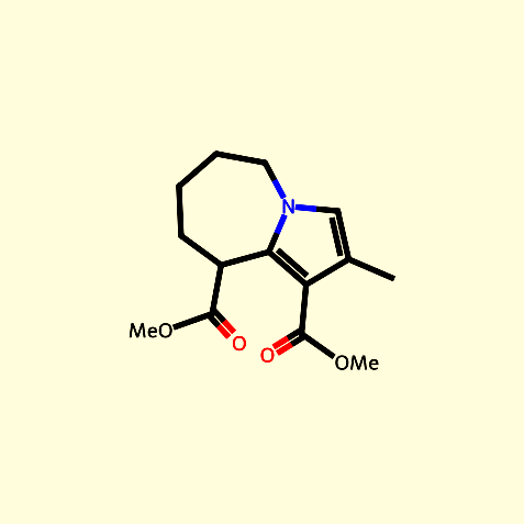 COC(=O)c1c(C)cn2c1C(C(=O)OC)CCCC2